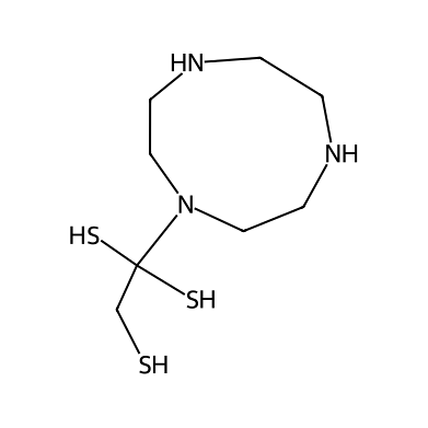 SCC(S)(S)N1CCNCCNCC1